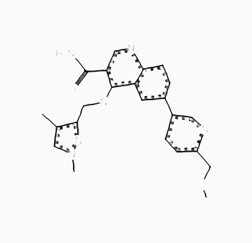 COCc1ccc(-c2ccc3ncc(C(N)=O)c(NCc4nn(C)cc4C)c3c2)cn1